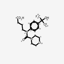 O=C(O)CCCN(C(=O)N1CCOCC1)c1ccc(C(O)(C(F)(F)F)C(F)(F)F)cc1